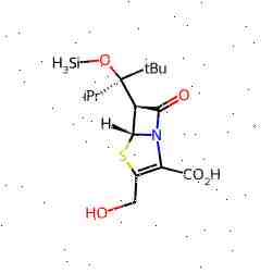 CC(C)[C@@](O[SiH3])([C@H]1C(=O)N2C(C(=O)O)=C(CO)S[C@H]12)C(C)(C)C